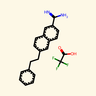 N=C(N)c1ccc2cc(CCc3ccccc3)ccc2c1.O=C(O)C(F)(F)F